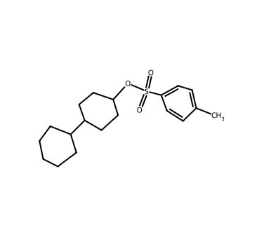 Cc1ccc(S(=O)(=O)OC2CCC(C3CCCCC3)CC2)cc1